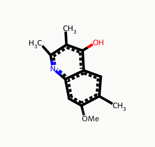 COc1cc2nc(C)c(C)c(O)c2cc1C